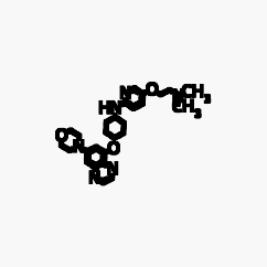 CN(C)CCOc1ccc(N[C@H]2CC[C@@H](Oc3cc(N4CCOCC4)cc4nccnc34)CC2)nc1